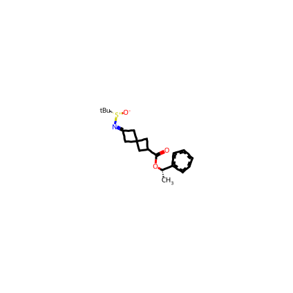 C[C@H](OC(=O)C1CC2(CC(=N[S@@+]([O-])C(C)(C)C)C2)C1)c1ccccc1